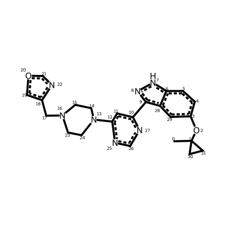 CC1(Oc2ccc3[nH]nc(-c4cc(N5CCN(Cc6cocn6)CC5)ncn4)c3c2)CC1